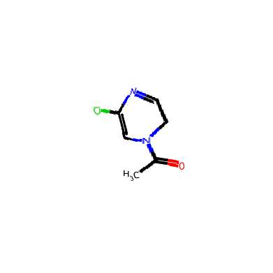 CC(=O)N1C=C(Cl)N=CC1